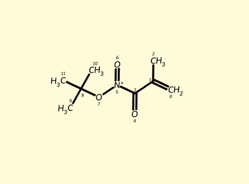 C=C(C)C(=O)[N+](=O)OC(C)(C)C